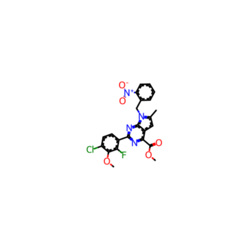 COC(=O)c1nc(-c2ccc(Cl)c(OC)c2F)nc2c1cc(C)n2Cc1ccccc1[N+](=O)[O-]